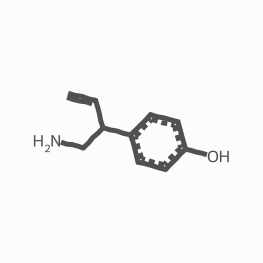 C=CC(CN)c1ccc(O)cc1